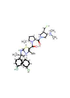 CC(C)C1=C(C(=O)N2[C@H](C)CC[C@H]2C(=O)N2C[C@@H](CF)[C@H](N(C)C)C2)SC2=N[C@@](C)(c3ccc(Cl)cc3)[C@@H](c3ccc(Cl)cc3)N21